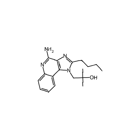 CCCCc1nc2c(N)nc3ccccc3c2n1CC(C)(C)O